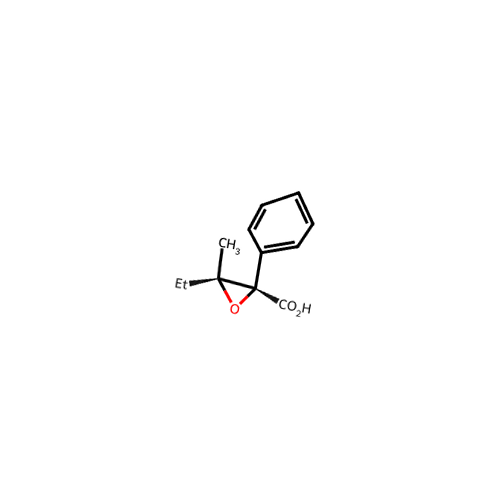 CC[C@]1(C)O[C@@]1(C(=O)O)c1ccccc1